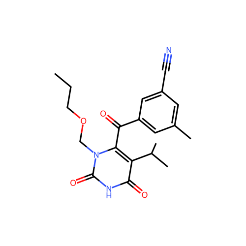 CCCOCn1c(C(=O)c2cc(C)cc(C#N)c2)c(C(C)C)c(=O)[nH]c1=O